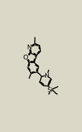 Cc1ccc2c(n1)oc1cc(C)c(C3C=CC([Si](C)(C)C)=CN3C)cc12